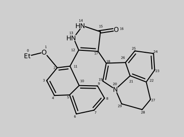 CCOc1ccc2ccccc2c1-c1[nH][nH]c(=O)c1-c1cn2c3c(cccc13)CCC2